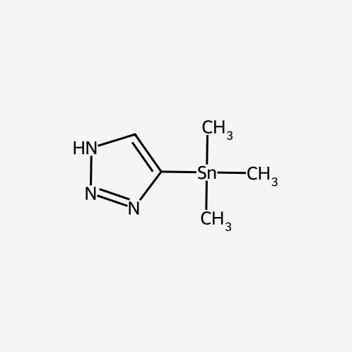 [CH3][Sn]([CH3])([CH3])[c]1c[nH]nn1